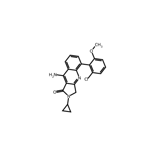 COc1cccc(Cl)c1-c1cccc2c(N)c3c(nc12)CN(C1CC1)C3=O